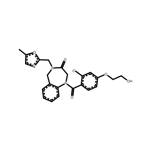 Cc1cnc(CN2Cc3ccccc3N(C(=O)c3ccc(OCCO)cc3Cl)CC2=O)o1